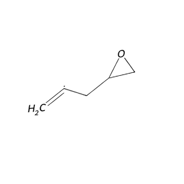 C=[C]CC1CO1